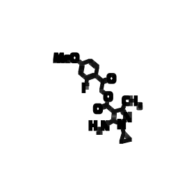 COc1ccc(C(=O)COC(=O)c2c(C)nn(C3CC3)c2N)c(F)c1